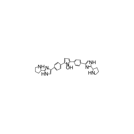 On1c(-c2ccc(-c3c[nH]c(C4CCCN4)n3)cc2)ccc1-c1ccc(-c2c[nH]c(C3CCCN3)n2)cc1